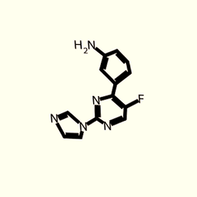 Nc1cccc(-c2nc(-n3ccnc3)ncc2F)c1